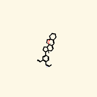 C=Cc1cc(C2CCC3C2(C)CC=C2C=C4CCCCC45CC[C@@]23O5)ccc1/C=C\C